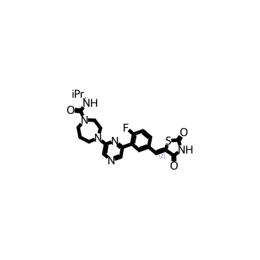 CC(C)NC(=O)N1CCCN(c2cncc(-c3cc(/C=C4\SC(=O)NC4=O)ccc3F)n2)CC1